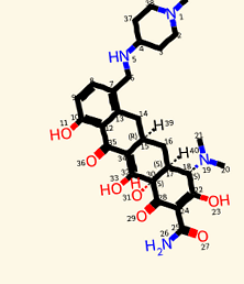 CN1CCC(NCc2ccc(O)c3c2C[C@H]2C[C@H]4[C@H](N(C)C)C(O)=C(C(N)=O)C(=O)[C@@]4(O)C(O)=C2C3=O)CC1